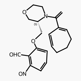 C=C(C1=CCCCC=C1)N1CCOC[C@H]1COc1cccc(N=O)c1C=O